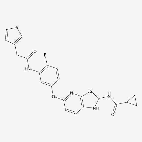 O=C(Cc1ccsc1)Nc1cc(Oc2ccc3c(n2)SC(NC(=O)C2CC2)N3)ccc1F